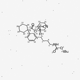 CC(C)(C)OC(=O)NCCCCc1cccc(C2(C(=O)O[C@H]3CN4CCC3CC4)CCCCC2)c1